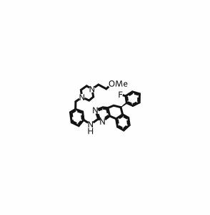 COCCN1CCN(Cc2cccc(Nc3ncc4c(n3)-c3ccccc3[C@H](c3ccccc3F)C4)c2)CC1